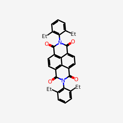 CCc1cccc(CC)c1N1C(=O)c2ccc3c4c(ccc(c24)C1=O)C(=O)N(c1c(CC)cccc1CC)C3=O